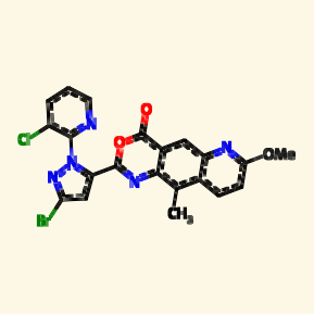 COc1ccc2c(C)c3nc(-c4cc(Br)nn4-c4ncccc4Cl)oc(=O)c3cc2n1